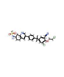 CC(C)(c1ccc(-c2cnc3c(c2)CCC(NS(C)(=O)=O)C3)cc1)c1cc(Cl)c(OCCCl)c(C#N)c1